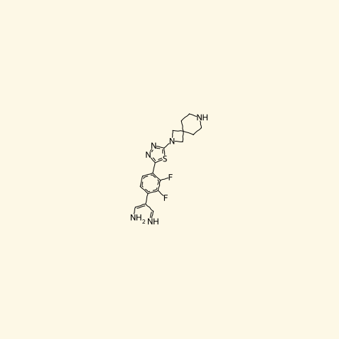 N=C/C(=C\N)c1ccc(-c2nnc(N3CC4(CCNCC4)C3)s2)c(F)c1F